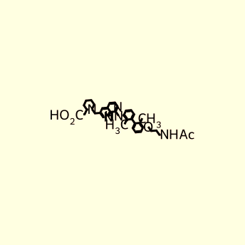 CC(=O)NCCCOc1cccc(-c2cccc(Nc3nccc4cc(CN5CCCCC5CC(=O)O)cnc34)c2C)c1C